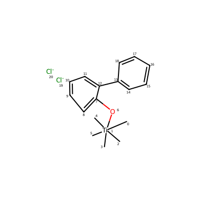 [CH3][Ti]([CH3])([CH3])([CH3])([CH3])[O]c1ccccc1-c1ccccc1.[Cl-].[Cl-]